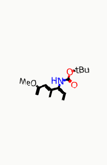 C=C(/C=C(C)/C(=C\C)NC(=O)OC(C)(C)C)OC